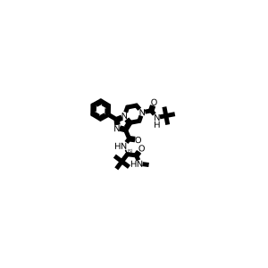 CNC(=O)[C@@H](NC(=O)c1nc(-c2ccccc2)n2c1CN(C(=O)NC(C)(C)C)CC2)C(C)(C)C